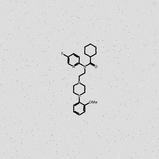 COc1ccccc1N1CCN(CCN(C(=O)C2CCCCC2)c2ccc(F)cn2)CC1